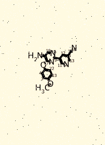 COc1ccc(Oc2nc(-c3cncc(C#N)c3)ncc2N)cc1